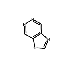 C1=Nc2cnncc2[N]1